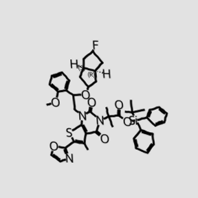 COc1ccccc1C(Cn1c(=O)n(C(C)(C)C(=O)O[Si](c2ccccc2)(c2ccccc2)C(C)(C)C)c(=O)c2c(C)c(-c3ncco3)sc21)OC1C[C@H]2CC(F)C[C@H]2C1